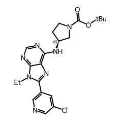 CCn1c(-c2cncc(Cl)c2)nc2c(N[C@H]3CCN(C(=O)OC(C)(C)C)C3)ncnc21